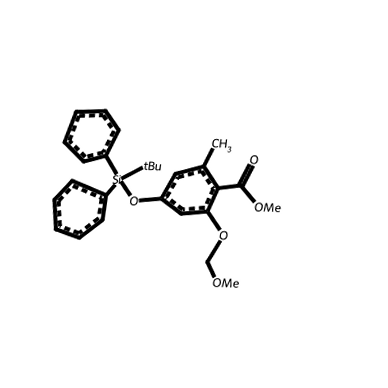 COCOc1cc(O[Si](c2ccccc2)(c2ccccc2)C(C)(C)C)cc(C)c1C(=O)OC